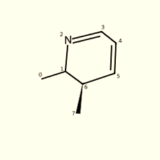 CC1N=CC=C[C@H]1C